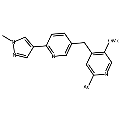 COc1cnc(C(C)=O)cc1Cc1ccc(-c2cnn(C)c2)nc1